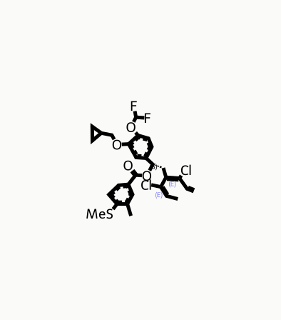 C=C/C(Cl)=C(C[C@H](OC(=O)c1ccc(SC)c(C)c1)c1ccc(OC(F)F)c(OCC2CC2)c1)\C(Cl)=C/C